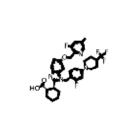 Cc1cnc(COc2ccc3nc([C@H]4CCCC[C@H]4C(=O)O)n(Cc4ccc(N5CCC(C(F)(F)F)CC5)cc4F)c3c2)c(F)c1